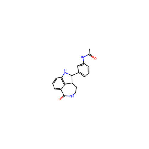 CC(=O)Nc1cccc(C2Nc3cccc4c3C2CCNC4=O)c1